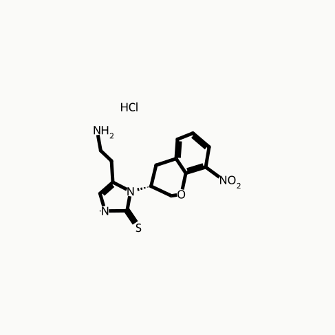 Cl.NCCC1=C[N]C(=S)N1[C@H]1COc2c(cccc2[N+](=O)[O-])C1